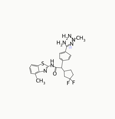 Cc1cccc2sc(NC(=O)C(c3ccc(/C(N)=N/N(C)N)cc3)C3CCC(F)(F)C3)nc12